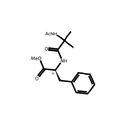 COC(=O)[C@H](Cc1ccccc1)NC(=O)C(C)(C)NC(C)=O